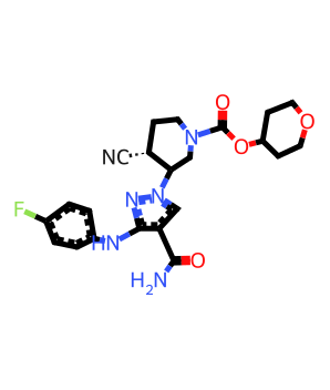 N#C[C@@H]1CCN(C(=O)OC2CCOCC2)CC1n1cc(C(N)=O)c(Nc2ccc(F)cc2)n1